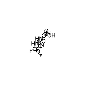 Cc1[nH]c2c(-c3ccc(F)cc3OCC3CC3)ccnc2c1C(=O)NC1CCN(C(=O)[C@H](C)O)CC1